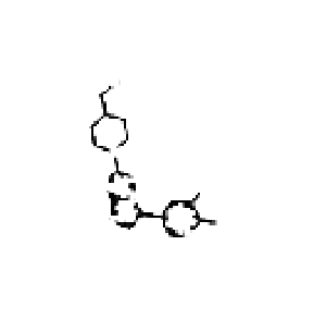 NCC1CCN(c2nn3c(-c4cnc(N)c(C(F)(F)F)c4)cnc3s2)CC1